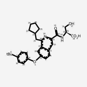 CC(C)(C)c1ccc(Oc2ccc3cc(C(=O)N[C@@H](CO)C(=O)O)nc(CC4CCCC4)c3c2)cc1